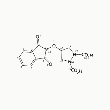 O=C1c2ccccc2C(=O)N1OC1CN(C(=O)O)N(C(=O)O)C1